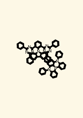 c1ccc(-c2nc(-c3ccccc3)nc(-c3cccc(-c4nc(-c5ccccc5)nc(-c5ccccc5)n4)c3-n3c4ccccc4c4cc(-c5cc6c7c(c5)N(c5ccccc5)c5ccccc5B7c5ccccc5N6c5ccccc5)ccc43)n2)cc1